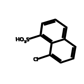 O=S(=O)(O)c1cccc2cccc(Cl)c12